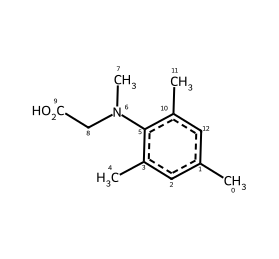 Cc1cc(C)c(N(C)CC(=O)O)c(C)c1